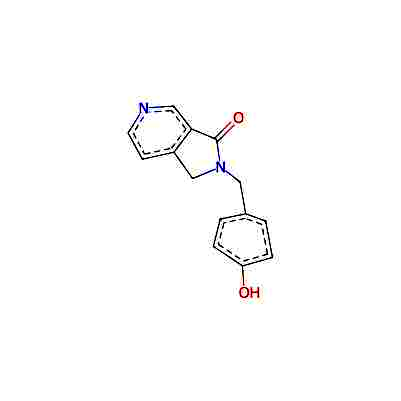 O=C1c2cnccc2CN1Cc1ccc(O)cc1